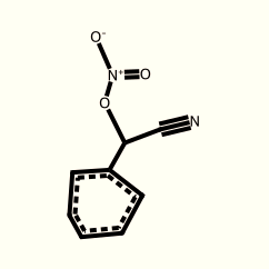 N#CC(O[N+](=O)[O-])c1ccccc1